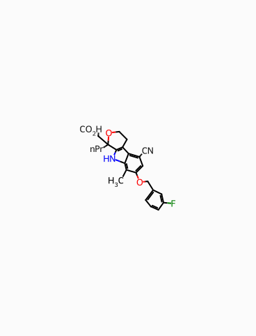 CCCC1(CC(=O)O)OCCc2c1[nH]c1c(C)c(OCc3cccc(F)c3)cc(C#N)c21